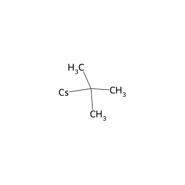 C[C](C)(C)[Cs]